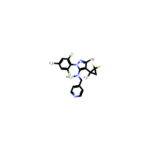 N#Cc1nn(-c2c(Cl)cc(C(F)(F)F)cc2Cl)c(N(Cc2ccncc2)C(=O)O)c1C1(C(F)(F)F)CC1(F)F